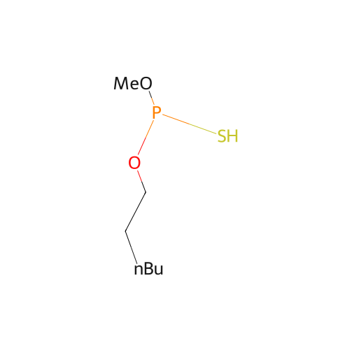 CCCCCCOP(S)OC